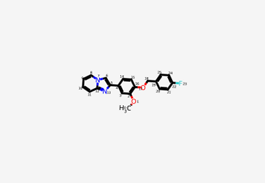 COc1cc(-c2cn3ccccc3n2)ccc1OCc1ccc(F)cc1